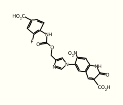 O=C(Nc1ccc(C(=O)O)cc1F)OCc1cn(-c2cc3cc(C(=O)O)c(=O)[nH]c3cc2[N+](=O)[O-])cn1